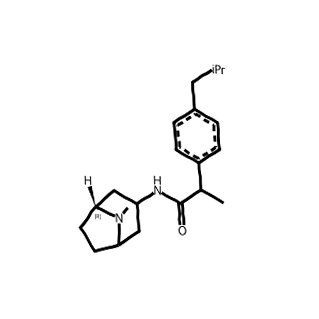 CC(C)Cc1ccc(C(C)C(=O)NC2CC3CC[C@H](C2)N3C)cc1